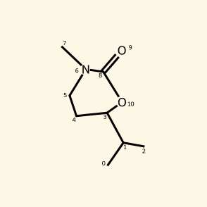 CC(C)C1CCN(C)C(=O)O1